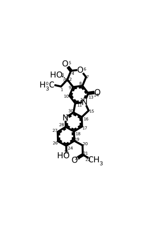 CC[C@@]1(O)C(=O)OCc2c1cc1n(c2=O)Cc2cc3c(CC(C)=O)c(O)ccc3nc2-1